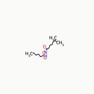 CCCCCC(=O)ONC(=O)CCCCC(C)C